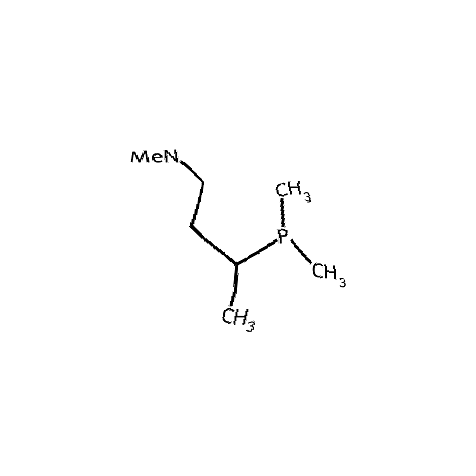 CNCCC(C)P(C)C